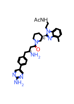 CC(=O)NCCn1c([C@@H]2CCCN(C(=O)C[C@H](N)Cc3ccc(-c4cnc(N)nc4)cc3)C2)nc2c(C)cccc21